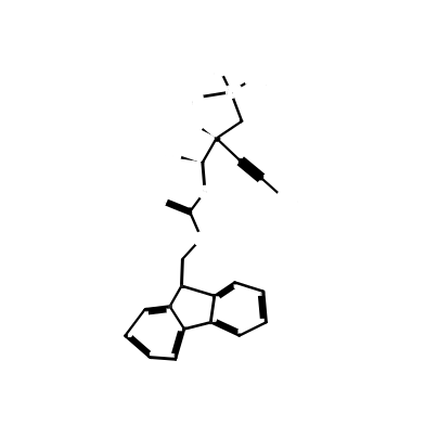 CC#C[C@@](C)(C[N+](C)(C)C)[C@@H](NC(=O)OCC1c2ccccc2-c2ccccc21)C(=O)O